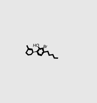 CCCCCc1ccc([C@@H]2C=C(C)CCC2)c(O)c1Br